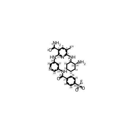 NC(=O)c1cc(F)c(NC2CCCC[C@@H]2N)nc1Nc1cncc(NC(=O)c2ccc(S(=O)(=O)F)cc2)c1